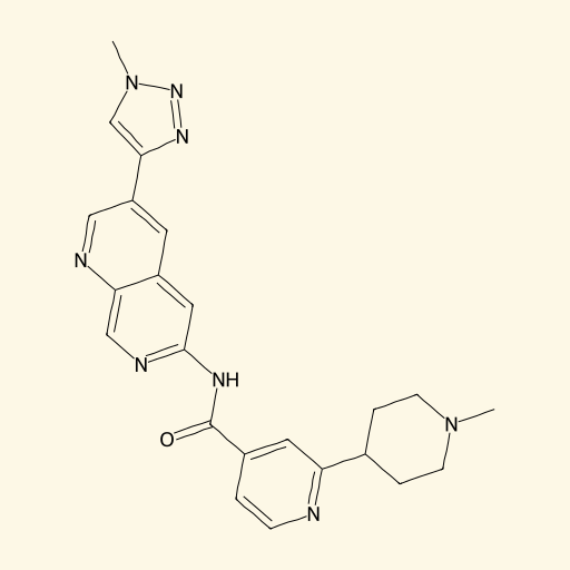 CN1CCC(c2cc(C(=O)Nc3cc4cc(-c5cn(C)nn5)cnc4cn3)ccn2)CC1